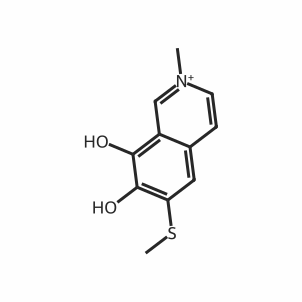 CSc1cc2cc[n+](C)cc2c(O)c1O